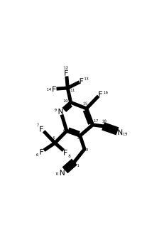 N#CCc1c(C(F)(F)F)nc(C(F)(F)F)c(F)c1C#N